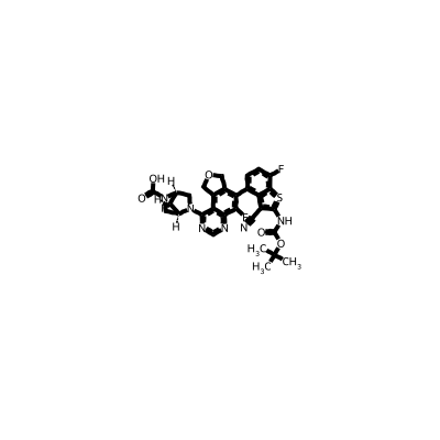 CC(C)(C)OC(=O)Nc1sc2c(F)ccc(-c3c4c(c5c(N6C[C@H]7[C@H](F)[C@@H]6CN7C(=O)O)ncnc5c3F)COC4)c2c1C#N